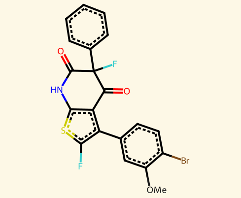 COc1cc(-c2c(F)sc3c2C(=O)C(F)(c2ccccc2)C(=O)N3)ccc1Br